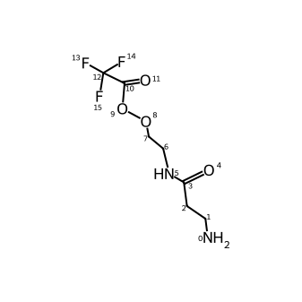 NCCC(=O)NCCOOC(=O)C(F)(F)F